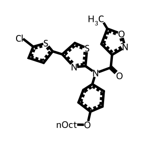 CCCCCCCCOc1ccc(N(C(=O)c2cc(C)on2)c2nc(-c3ccc(Cl)s3)cs2)cc1